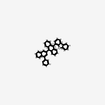 c1ccc(-c2cc(-c3c4ccccc4c(-c4cccc5c4oc4ccccc45)c4ccccc34)cc3ccccc23)cc1